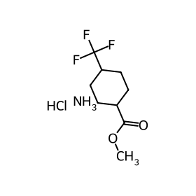 COC(=O)C1CCC(C(F)(F)F)CC1.Cl.N